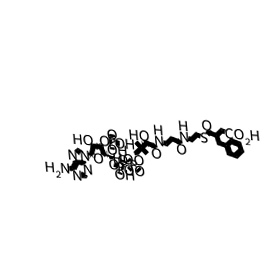 CC(C)(COP(=O)(O)OP(=O)(O)OC[C@H]1O[C@@H](n2cnc3c(N)ncnc32)[C@H](O)[C@@H]1OP(=O)(O)O)[C@@H](O)C(=O)NCCC(=O)NCCSC(=O)C(CC(=O)O)Cc1ccccc1